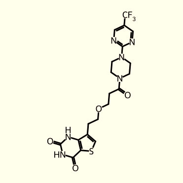 O=C(CCOCCc1csc2c(=O)[nH]c(=O)[nH]c12)N1CCN(c2ncc(C(F)(F)F)cn2)CC1